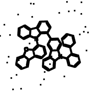 c1ccc(-c2ccccc2-n2c3ccccc3c3cc(-c4cccc5c6ccccc6n(-c6cccc7c6oc6ccccc67)c45)ccc32)cc1